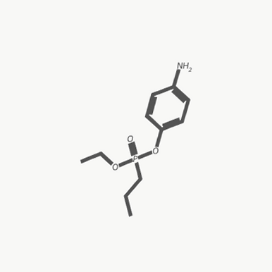 CCCP(=O)(OCC)Oc1ccc(N)cc1